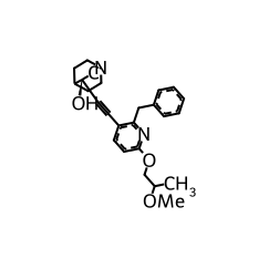 COC(C)COc1ccc(C#C[C@@]2(O)CN3CCC2CC3)c(Cc2ccccc2)n1